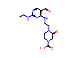 CCNc1ncc(C=O)c(NCCN2CCN(C(=O)O)CC2=O)n1